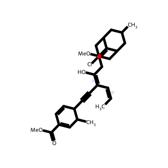 C/C=C\C(C#CC1C=CC(C(=O)OC)=CC1C)=C(\O)CC(OC)=C1C2CC(C)CC1CC(Cl)C2